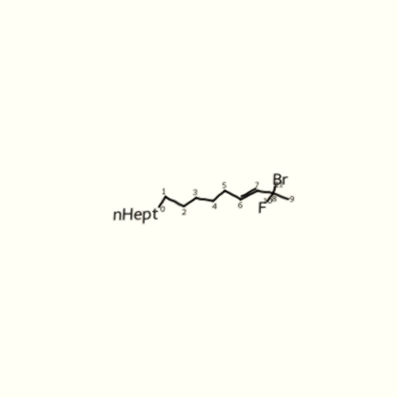 CCCCCCCCCCCCC=CC(C)(F)Br